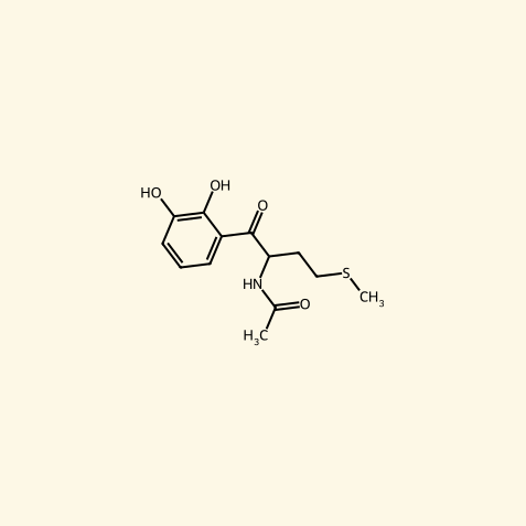 CSCCC(NC(C)=O)C(=O)c1cccc(O)c1O